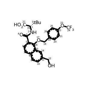 CC(C)(C)[C@H](NC(=O)c1ccc2ccc(CO)cc2c1OCc1ccc(OC(F)(F)F)cc1)C(=O)O